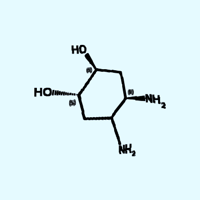 NC1C[C@H](O)[C@@H](O)C[C@H]1N